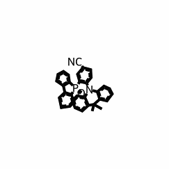 CC1(C)c2ccccc2N(c2ccc(C#N)cc2P2(=O)c3ccccc3-c3ccccc32)c2ccccc21